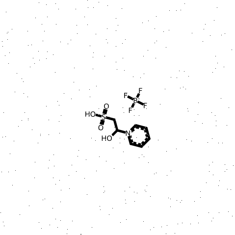 F[B-](F)(F)F.O=S(=O)(O)CC(O)[n+]1ccccc1